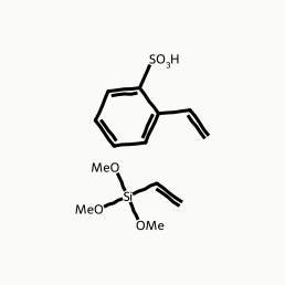 C=C[Si](OC)(OC)OC.C=Cc1ccccc1S(=O)(=O)O